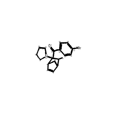 CC1C2C=CC(C2)C1(C(=O)c1ccc(Br)cc1)N1CCCC1